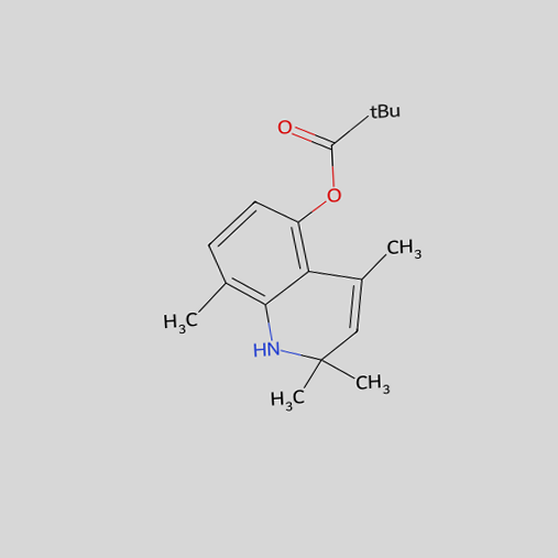 CC1=CC(C)(C)Nc2c(C)ccc(OC(=O)C(C)(C)C)c21